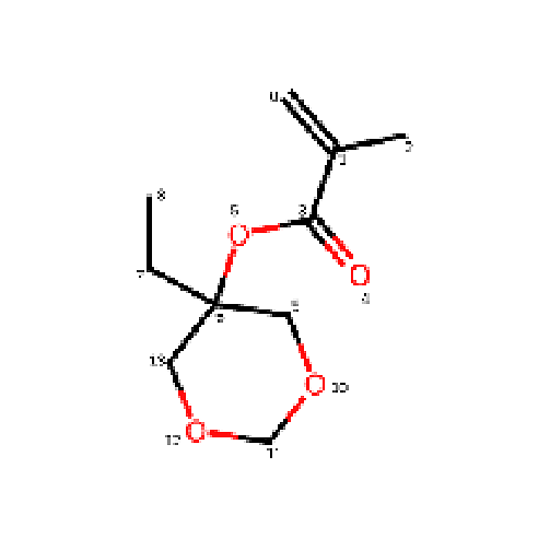 C=C(C)C(=O)OC1(CC)COCOC1